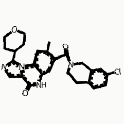 Cc1cc2c(cc1C(=O)N1CCc3ccc(Cl)cc3C1)[nH]c(=O)c1cnc(C3CCOCC3)n12